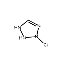 ClN1N=[C]NN1